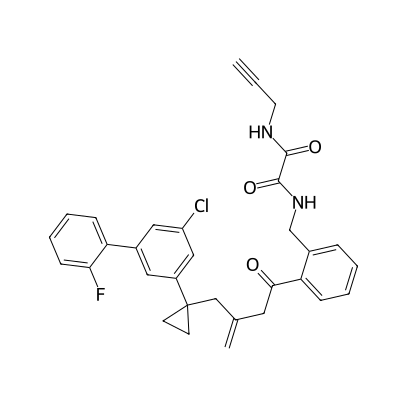 C#CCNC(=O)C(=O)NCc1ccccc1C(=O)CC(=C)CC1(c2cc(Cl)cc(-c3ccccc3F)c2)CC1